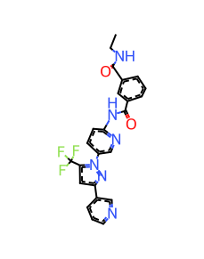 CCNC(=O)c1cccc(C(=O)Nc2ccc(-n3nc(-c4cccnc4)cc3C(F)(F)F)cn2)c1